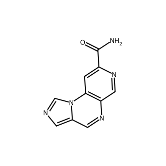 NC(=O)c1cc2c(cn1)ncc1cncn12